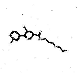 CCCOCCCNC(=O)c1cnc(-c2cccc(F)c2)c(Cl)c1